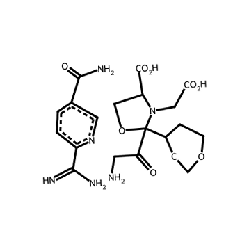 N=C(N)c1ccc(C(N)=O)cn1.NCC(=O)C1(C2CCOCC2)OCC(C(=O)O)N1CC(=O)O